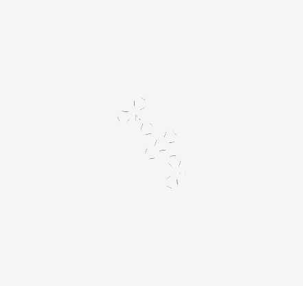 c1ccc2c(c1)oc1ccc(-c3c4ccccc4c(-c4ccc(-n5c6ccccc6c6ccccc65)cc4)c4ccccc34)cc12